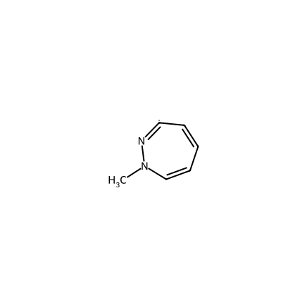 CN1C=CC=C[C]=N1